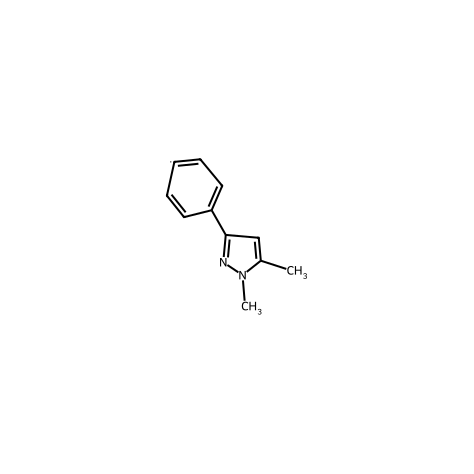 Cc1cc(-c2cc[c]cc2)nn1C